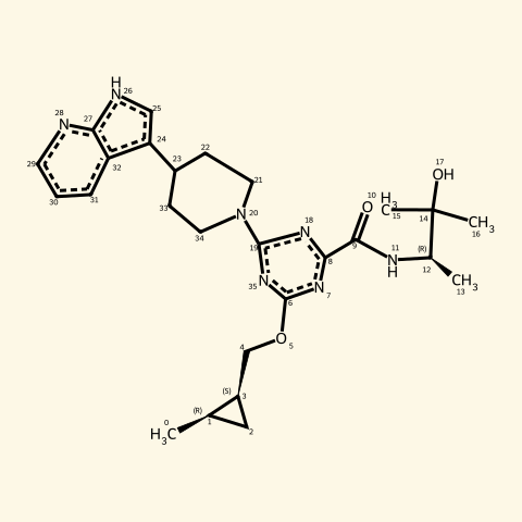 C[C@@H]1C[C@@H]1COc1nc(C(=O)N[C@H](C)C(C)(C)O)nc(N2CCC(c3c[nH]c4ncccc34)CC2)n1